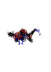 CC(C)C(NC(=O)C1CCCN1C(=O)OCc1ccccc1)C(=O)C(F)(F)C(=O)OC(=O)[C@H](CCCCN)NC(=O)OCc1ccccc1